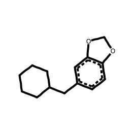 c1cc2c(cc1CC1CCCCC1)OCO2